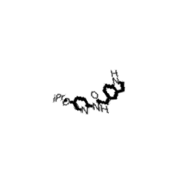 CC(C)Oc1ccc(NC(=O)Cc2ccc3[nH]ccc3c2)nc1